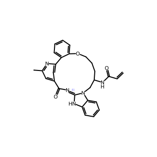 C=CC(=O)NC1CCCOc2ccccc2-c2cc(cc(C)n2)C(=O)/N=C2\Nc3ccccc3N2C1